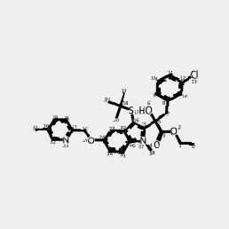 CCOC(=O)C(O)(Cc1cccc(Cl)c1)c1c(SC(C)(C)C)c2cc(OCc3ccc(C)cn3)ccc2n1C